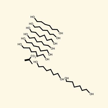 C=C(C)C(=O)O.OCCCCCCO.OCCCCCCO.OCCCCCCO.OCCCCCCO.OCCCCCCO.OCCCCCCO.OCCCCCCO.OCCCCCCO